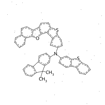 CC1(C)c2ccccc2-c2ccc(N(c3ccc4c(c3)sc3ccccc34)c3ccc4sc5ccc6c7ccc8ccccc8c7oc6c5c4c3)cc21